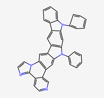 c1ccc(-n2c3ccccc3c3cc4c5cc6c(cc5n(-c5ccccc5)c4cc32)c2cnccc2c2nccn62)cc1